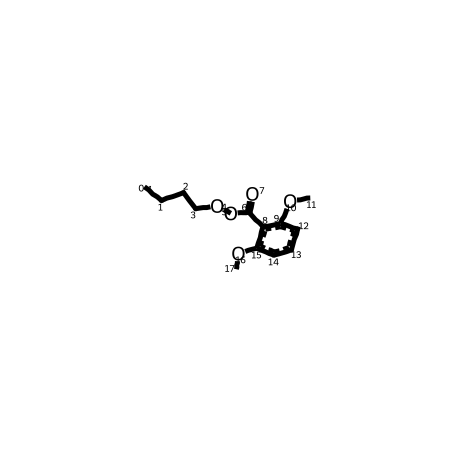 [CH2]CCCOOC(=O)c1c(OC)cccc1OC